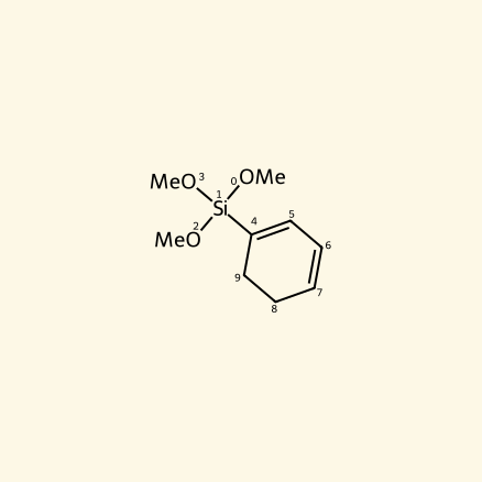 CO[Si](OC)(OC)C1=CC=CCC1